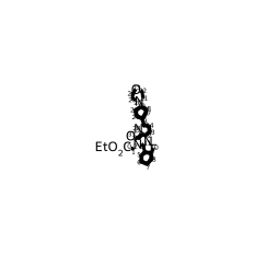 CCOC(=O)Cn1c(-c2ccccc2F)nc2ccc(-c3ccc(N4CCOCC4)cc3)nc2c1=O